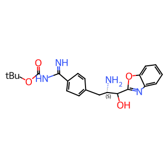 CC(C)(C)OC(=O)NC(=N)c1ccc(C[C@H](N)C(O)c2nc3ccccc3o2)cc1